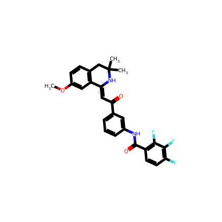 COc1ccc2c(c1)/C(=C/C(=O)c1cccc(NC(=O)c3ccc(F)c(F)c3F)c1)NC(C)(C)C2